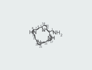 NCc1c2nc(cc3ccc(cc4nc(cc5ccc1[nH]5)C=C4)[nH]3)C=C2